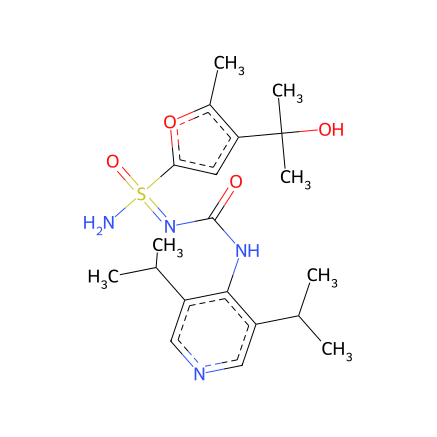 Cc1oc(S(N)(=O)=NC(=O)Nc2c(C(C)C)cncc2C(C)C)cc1C(C)(C)O